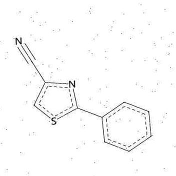 N#Cc1csc(-c2ccccc2)n1